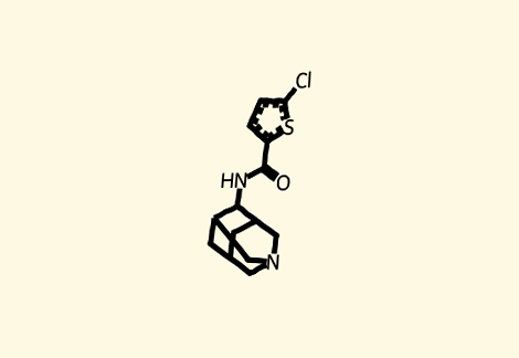 O=C(NC1C2CC3CC1CN(C3)C2)c1ccc(Cl)s1